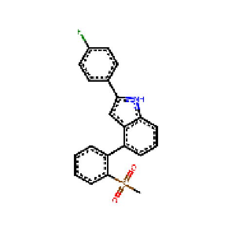 CS(=O)(=O)c1ccccc1-c1cccc2[nH]c(-c3ccc(F)cc3)cc12